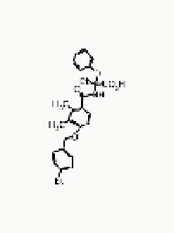 CCc1ccc(COc2ccc(C(=O)NC(CC)(Oc3ccccc3)C(=O)O)c(C)c2C)cc1